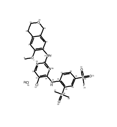 COc1cc2c(cc1Nc1ncc(Cl)c(Nc3ccc(S(=O)(=O)F)cc3P(C)(C)=O)n1)COCC2.Cl